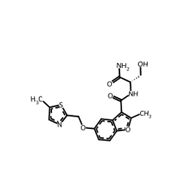 Cc1cnc(COc2ccc3oc(C)c(C(=O)N[C@@H](CO)C(N)=O)c3c2)s1